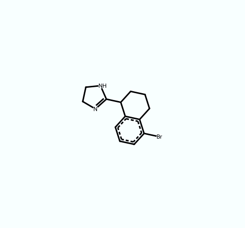 Brc1cccc2c1CCCC2C1=NCCN1